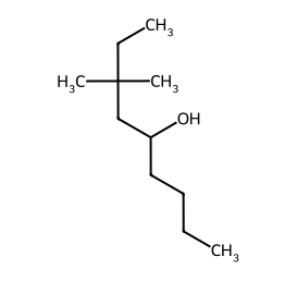 CCCCC(O)CC(C)(C)CC